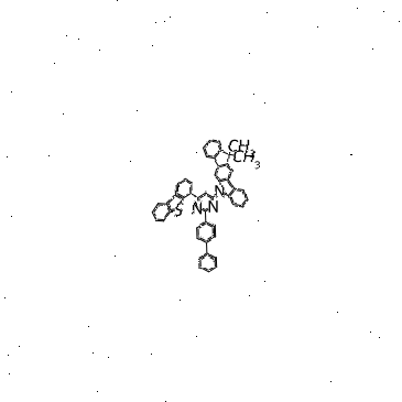 CC1(C)c2ccccc2-c2cc3c(cc21)c1ccccc1n3-c1cc(-c2cccc3c2sc2ccccc23)nc(-c2ccc(-c3ccccc3)cc2)n1